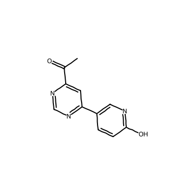 CC(=O)c1cc(-c2ccc(O)nc2)ncn1